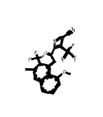 COc1cccc2cc(C)c(C(F)(F)F)c([CH]C(=O)C3=C(C(F)(F)F)C(C#N)=N3)c12